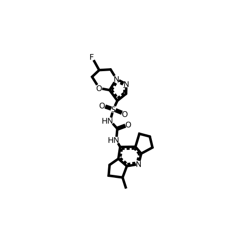 CC1CCc2c1nc1c(c2NC(=O)NS(=O)(=O)c2cnn3c2OCC(F)C3)CCC1